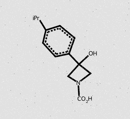 CC(C)c1ccc(C2(O)CN(C(=O)O)C2)cc1